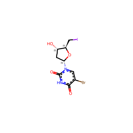 O=c1[nH]c(=O)n([C@@H]2C[C@H](O)[C@@H](CI)O2)cc1Br